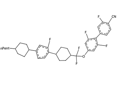 CCCCCC1CCC(c2ccc(C3CCC(C(F)(F)Oc4cc(F)c(-c5ccc(C#N)c(F)c5)c(F)c4)CC3)c(F)c2)CC1